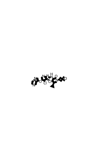 Cn1c(Nc2cc(C3CC3)cn(C3CC4(COC4)C3)c2=O)nc2ncc(Oc3cnn4ccncc34)c(Cl)c21